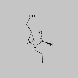 CCCC1(C)[C@H]2OCC1(CO)O2